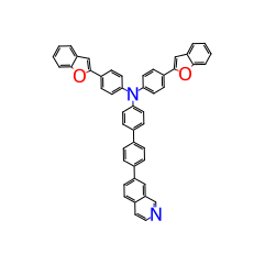 c1ccc2oc(-c3ccc(N(c4ccc(-c5ccc(-c6ccc7ccncc7c6)cc5)cc4)c4ccc(-c5cc6ccccc6o5)cc4)cc3)cc2c1